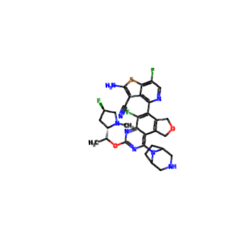 CC(Oc1nc(N2C3CCC2CNC3)c2c3c(c(-c4ncc(F)c5sc(N)c(C#N)c45)c(F)c2n1)COC3)[C@@H]1C[C@@H](F)CN1C